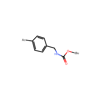 CC(=O)c1ccc(CNC(=O)OC(C)(C)C)cc1